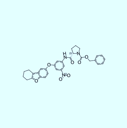 O=C(Nc1cc(Oc2ccc3oc4c(c3c2)CCCC4)cc([N+](=O)[O-])c1)[C@@H]1CCCN1C(=O)OCc1ccccc1